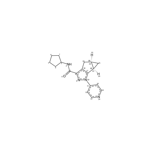 O=C(NC1CCCC1)c1nn(-c2ccncc2)c2c1C[C@H]1C[C@@H]21